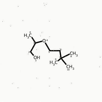 CC(CO)OCCC(C)(C)C